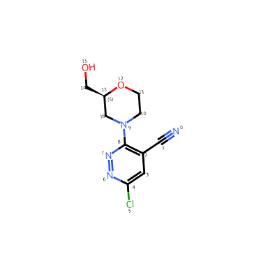 N#Cc1cc(Cl)nnc1N1CCO[C@H](CO)C1